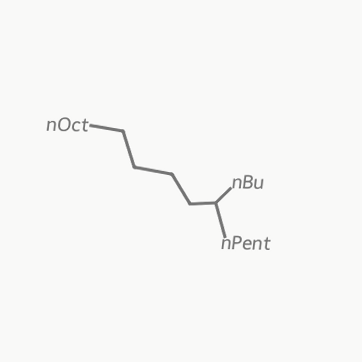 [CH2]CCCCC(CCCC)CCCCCCCCCCCC